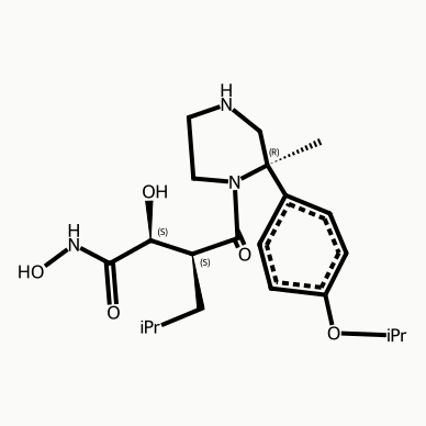 CC(C)C[C@H](C(=O)N1CCNC[C@@]1(C)c1ccc(OC(C)C)cc1)[C@H](O)C(=O)NO